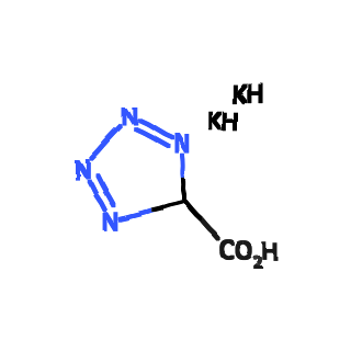 O=C(O)C1N=NN=N1.[KH].[KH]